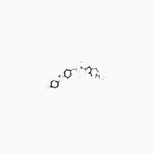 C=N/C=C\c1cc(C(=O)NCc2ccc(S(=O)(=O)c3ccc(F)cc3)cc2)sc1C